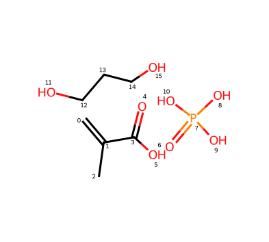 C=C(C)C(=O)O.O=P(O)(O)O.OCCCO